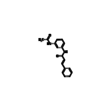 CC(=O)Nc1cccc(NC(=O)C=Cc2ccccc2)c1